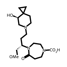 COC[C@H](CCN1CCC2(CC2)[C@H](O)C1)N1CCN(C(=O)O)CCC1=O